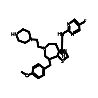 COc1ccc(CC2CN(CCN3CCNCC3)CCC34C=C(Nc5ncc(F)cn5)NN3CSC24)cc1